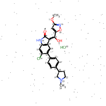 COc1cc(C(O)=C2C(=O)Nc3cc(Cl)c(-c4ccc(C5CCN(C)C5)cc4)cc32)on1.Cl